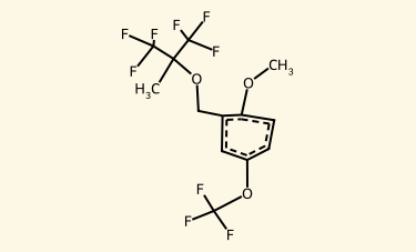 COc1ccc(OC(F)(F)F)cc1COC(C)(C(F)(F)F)C(F)(F)F